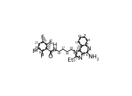 CCc1nc2c(N)nc3ccccc3c2n1CCCCNC(=O)c1c(F)c(F)cc(F)c1F